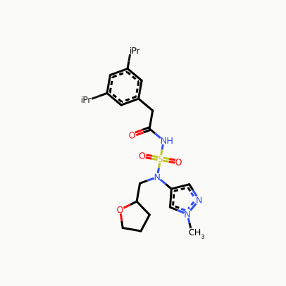 CC(C)c1cc(CC(=O)NS(=O)(=O)N(CC2CCCO2)c2cnn(C)c2)cc(C(C)C)c1